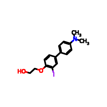 CN(C)c1ccc(-c2ccc(OCCO)c(I)c2)cc1